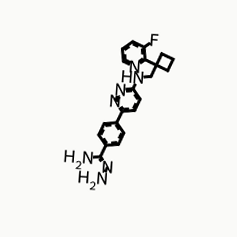 NN=C(N)c1ccc(-c2ccc(NCC3(c4ncccc4F)CCC3)nn2)cc1